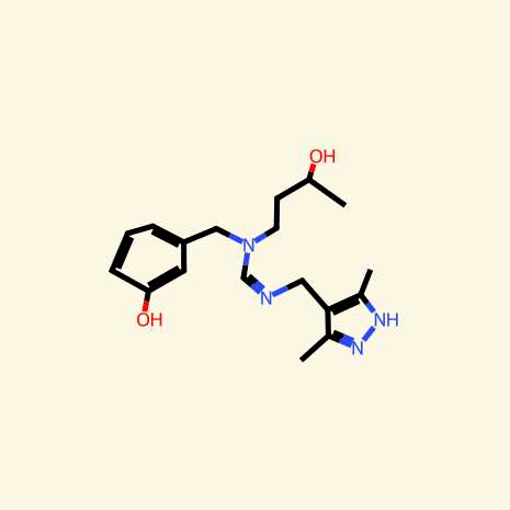 Cc1n[nH]c(C)c1C/N=C\N(CCC(C)O)Cc1cccc(O)c1